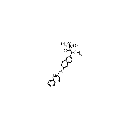 C[C@H](C(=O)N(C)O)c1ccc2cc(OCc3ccc4ccccc4n3)ccc2c1